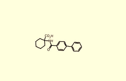 O=C(NC1(C(=O)O)CCCCC1)c1ccc(-c2ccccc2)cc1